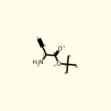 C#CC(N)C(=O)OC(C)(C)C